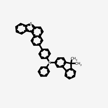 CC1(C)c2ccccc2-c2cc(N(c3ccccc3)c3ccc(-c4ccc5c(ccc6sc7ccccc7c65)c4)cc3)ccc21